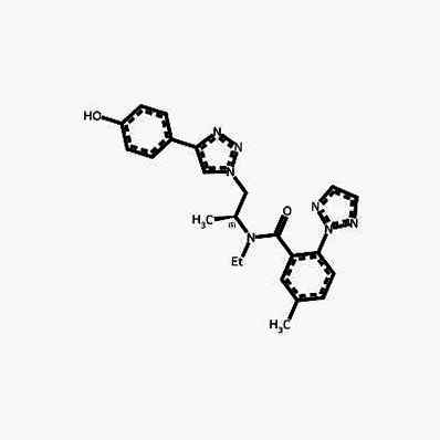 CCN(C(=O)c1cc(C)ccc1-n1nccn1)[C@@H](C)Cn1cc(-c2ccc(O)cc2)nn1